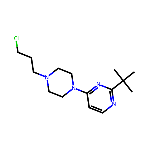 CC(C)(C)c1nccc(N2CCN(CCCCl)CC2)n1